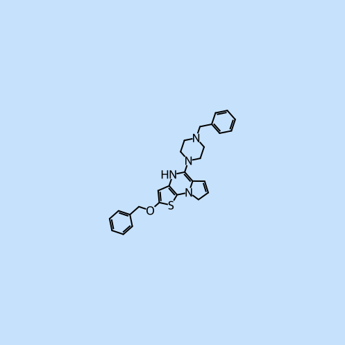 C1=CC2=C(N3CCN(Cc4ccccc4)CC3)Nc3cc(OCc4ccccc4)sc3N2C1